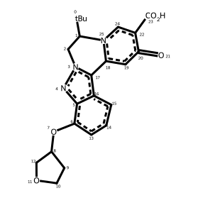 CC(C)(C)C1Cn2nc3c(OC4CCOC4)cccc3c2-c2cc(=O)c(C(=O)O)cn21